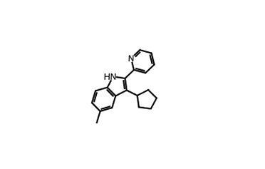 Cc1ccc2[nH]c(-c3ccccn3)c(C3CCCC3)c2c1